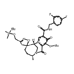 CCCCOc1c2n(cc(C(=O)NCc3ccc(F)cc3F)c1=O)[C@@H]1CN(C2=O)[C@@H](C)CC[C@]12CC(CO[Si](C)(C)C(C)(C)C)=NO2